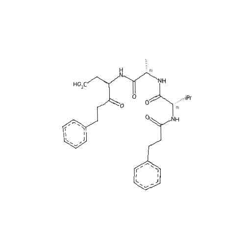 CC(C)[C@H](NC(=O)CCc1ccccc1)C(=O)N[C@@H](C)C(=O)NC(CC(=O)O)C(=O)CCc1ccccc1